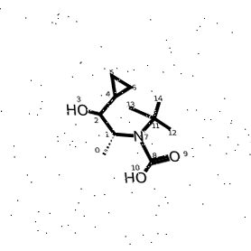 C[C@H](C(O)C1CC1)N(C(=O)O)C(C)(C)C